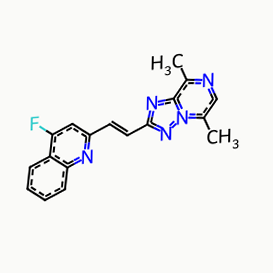 Cc1ncc(C)n2nc(C=Cc3cc(F)c4ccccc4n3)nc12